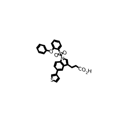 O=C(O)CCc1cn(S(=O)(=O)c2ccccc2Oc2ccccc2)c2ccc(-c3ccsc3)cc12